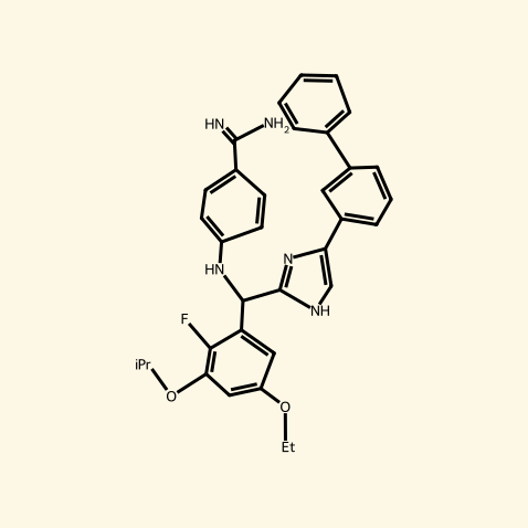 CCOc1cc(OC(C)C)c(F)c(C(Nc2ccc(C(=N)N)cc2)c2nc(-c3cccc(-c4ccccc4)c3)c[nH]2)c1